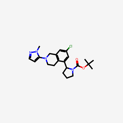 Cn1nccc1N1CCc2c(cc(Cl)cc2C2CCCN2C(=O)OC(C)(C)C)C1